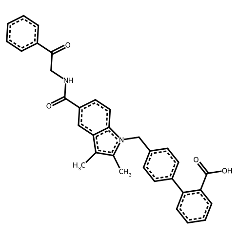 Cc1c(C)n(Cc2ccc(-c3ccccc3C(=O)O)cc2)c2ccc(C(=O)NCC(=O)c3ccccc3)cc12